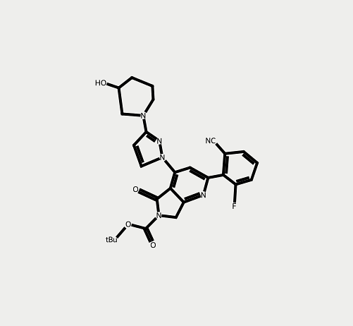 CC(C)(C)OC(=O)N1Cc2nc(-c3c(F)cccc3C#N)cc(-n3ccc(N4CCCC(O)C4)n3)c2C1=O